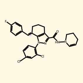 O=C(NN1C=CCCC1)c1nn(-c2ccc(Cl)cc2Cl)c2c1CCC/C2=C\c1ccc(F)cc1